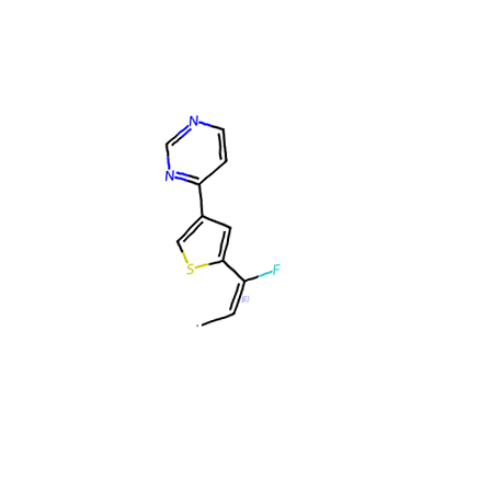 [CH2]/C=C(/F)c1cc(-c2ccncn2)cs1